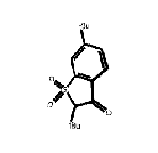 CC(C)(C)c1ccc2c(c1)S(=O)(=O)C(C(C)(C)C)C2=O